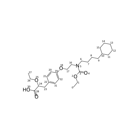 CCOC(=O)N(CCCCC1CCCCC1)CCOc1ccc(CC(OCC)C(=O)O)cc1